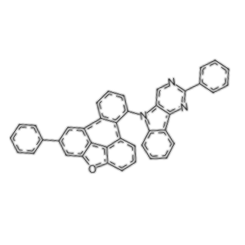 c1ccc(-c2cc3oc4cccc5c6c(-n7c8ccccc8c8nc(-c9ccccc9)ncc87)cccc6c(c2)c3c45)cc1